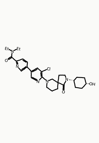 CCN(CC)C(=O)c1ccc(-c2cnc(N3CCCC4(CCN([C@H]5CC[C@@H](O)CC5)C4=O)C3)c(Cl)c2)cn1